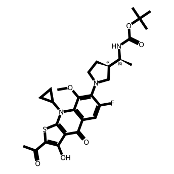 COc1c(N2CC[C@@H]([C@H](C)NC(=O)OC(C)(C)C)C2)c(F)cc2c(=O)c3c(O)c(C(C)=O)sc3n(C3CC3)c12